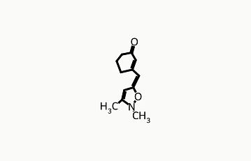 CC1=C/C(=C\C2=CC(=O)CCC2)ON1C